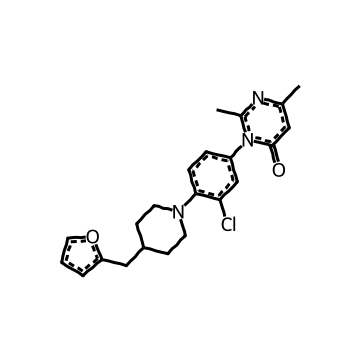 Cc1cc(=O)n(-c2ccc(N3CCC(Cc4ccco4)CC3)c(Cl)c2)c(C)n1